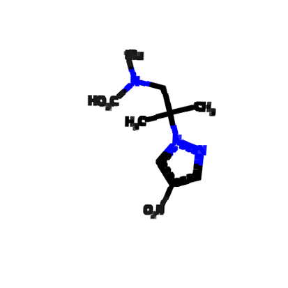 CC(C)(C)N(CC(C)(C)n1cc([N+](=O)[O-])cn1)C(=O)O